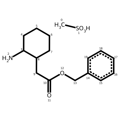 CS(=O)(=O)O.NC1CCCCC1CC(=O)OCc1ccccc1